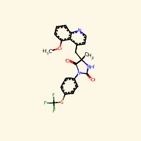 COc1cccc2nccc(CC3(C)NC(=O)N(c4ccc(SC(F)(F)F)cc4)C3=O)c12